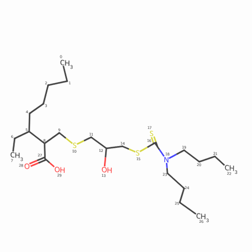 CCCCCC(CC)C(CSCC(O)CSC(=S)N(CCCC)CCCC)C(=O)O